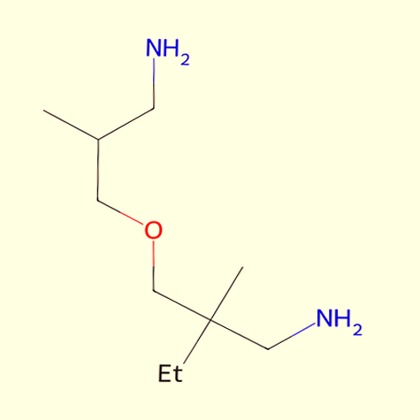 CCC(C)(CN)COCC(C)CN